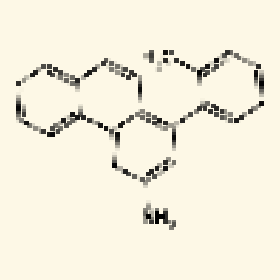 Cc1ccccc1-c1cc(N)cc2c1ccc1ccccc12